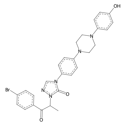 CC(C(=O)c1ccc(Br)cc1)n1ncn(-c2ccc(N3CCN(c4ccc(O)cc4)CC3)cc2)c1=O